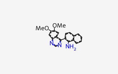 COc1cc2ncnc(-c3ccc4ccccc4c3N)c2cc1OC